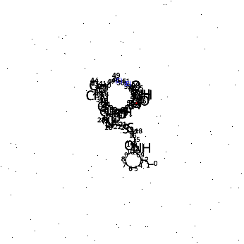 CCCC1CCCCCCCC(NC(=O)CCC(C)SSCCC(=O)N(C)[C@@H](C)C(=O)C[C@H]2CC(=O)N(C)c3cc(cc(OC)c3Cl)C/C(C)=C/C=C/[C@@H](OC)[C@@]3(O)C[C@@H](C[C@@H]4O[C@@]24C)OC(=O)N3)C1